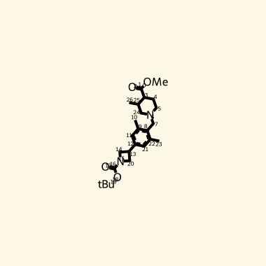 COC(=O)C1CCN(Cc2c(C)cc(C3CN(C(=O)OC(C)(C)C)C3)cc2C)CC1C